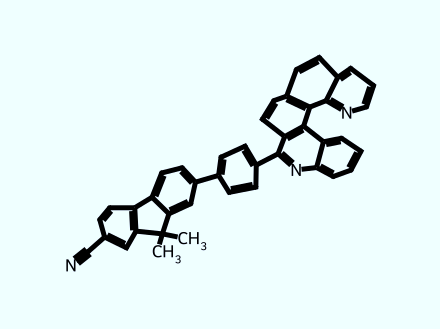 CC1(C)c2cc(C#N)ccc2-c2ccc(-c3ccc(-c4nc5ccccc5c5c4ccc4ccc6cccnc6c45)cc3)cc21